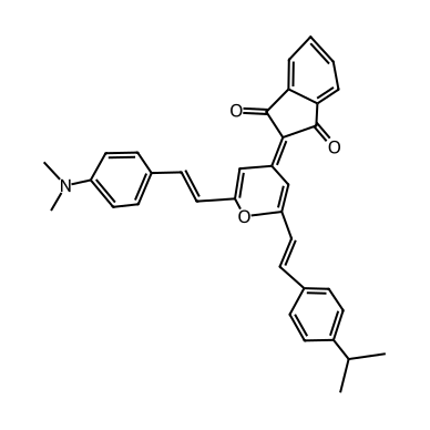 CC(C)c1ccc(C=CC2=CC(=C3C(=O)c4ccccc4C3=O)C=C(C=Cc3ccc(N(C)C)cc3)O2)cc1